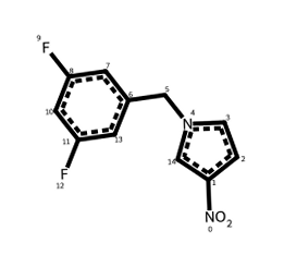 O=[N+]([O-])c1ccn(Cc2cc(F)cc(F)c2)c1